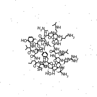 CC[C@H](C)[C@H](NC(=O)[C@@H]1C[C@@H](O)CN1C(=O)[C@@H](N)C(C)C)C(=O)N[C@H](C(=O)N[C@@H](Cc1ccc(O)cc1)C(=O)N[C@@H](CO)C(=O)N[C@@H](CC(N)=O)C(=O)N[C@@H](CCCNC(=N)N)C(=O)N[C@@H](CCNC(C)C)C(=O)N[C@H](C(=O)N[C@H](CCN)C(=O)N[C@@H](CCCCN)C(=O)N[C@@H](CCNC(C)C)C(=O)N[C@@H](CCN)C(=O)N[C@@H](CS)C(=O)N[C@@H](Cc1ccc(O)cc1)C(=O)O)[C@@H](C)O)C(C)(C)S